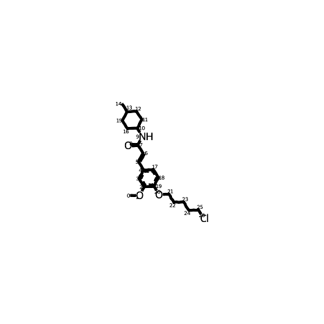 COc1cc(C=CC(=O)NC2CCC(C)CC2)ccc1OCCCCCCl